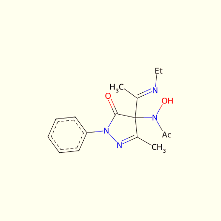 CC/N=C(\C)C1(N(O)C(C)=O)C(=O)N(c2ccccc2)N=C1C